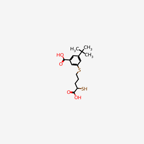 CC(C)(C)c1cc(SCCCC(S)C(=O)O)cc(C(=O)O)c1